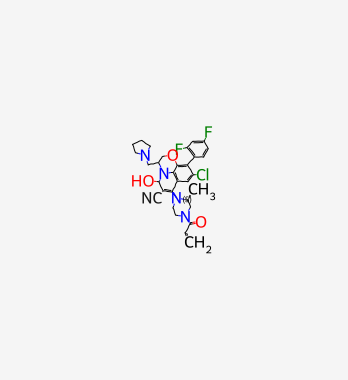 C=CC(=O)N1CCN(C2=C(C#N)C(O)N3c4c2cc(Cl)c(-c2ccc(F)cc2F)c4OCC3CN2CCCC2)[C@@H](C)C1